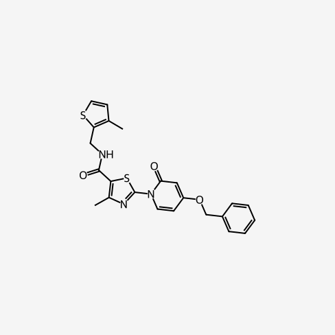 Cc1ccsc1CNC(=O)c1sc(-n2ccc(OCc3ccccc3)cc2=O)nc1C